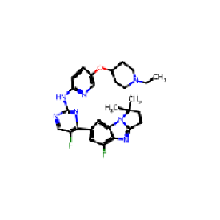 CCN1CCC(Oc2ccc(Nc3ncc(F)c(-c4cc(F)c5nc6n(c5c4)C(C)(C)CC6)n3)nc2)CC1